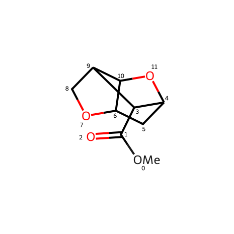 COC(=O)C1C2CC3OCC1C3O2